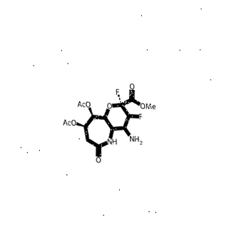 COC(=O)[C@]1(F)OC2C(NC(=O)C[C@@H](OC(C)=O)[C@H]2OC(C)=O)C(N)C1F